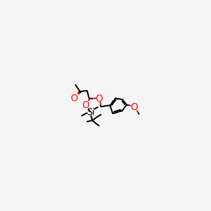 COc1ccc(COC(CC(C)=O)O[Si](C)(C)C(C)(C)C)cc1